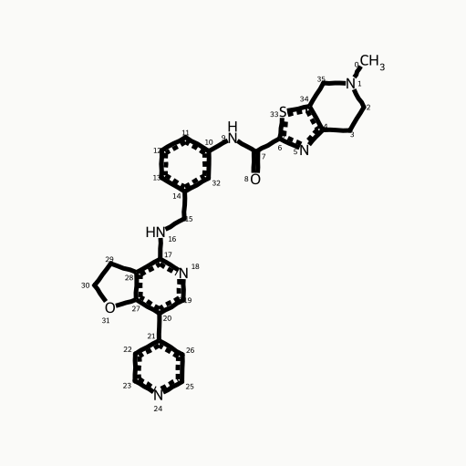 CN1CCc2nc(C(=O)Nc3cccc(CNc4ncc(-c5ccncc5)c5c4CCO5)c3)sc2C1